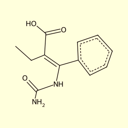 CCC(C(=O)O)=C(NC(N)=O)c1ccccc1